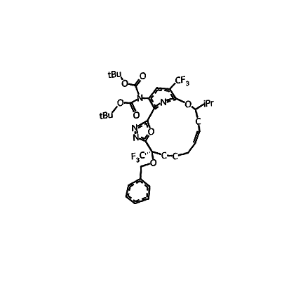 CC(C)C1C/C=C\CCC[C@](OCc2ccccc2)(C(F)(F)F)c2nnc(o2)-c2nc(c(C(F)(F)F)cc2N(C(=O)OC(C)(C)C)C(=O)OC(C)(C)C)O1